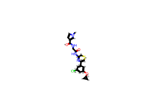 Cn1ccc(C(=O)NCC(=O)NC2=NC(c3cc(Cl)cc(OC4CC4)c3)=CSC2)c1